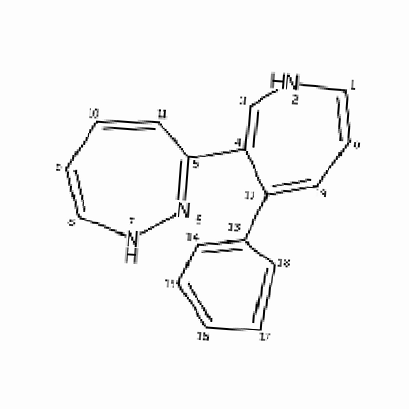 C1=CNC=C(C2=NNC=CC=C2)C(c2ccccc2)=C1